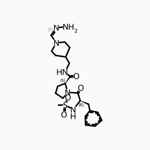 CS(=O)(=O)N[C@H](Cc1ccccc1)C(=O)N1CCC[C@H]1C(=O)NCC1CCN(/C=N\N)CC1